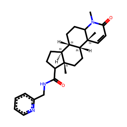 CN1C(=O)C=C[C@@]2(C)C1CC[C@@H]1[C@H]2CC[C@]2(C)C(C(=O)NCc3ccccn3)CC[C@@H]12